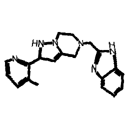 Cc1cccnc1C1C=C2CN(Cc3nc4ccccc4[nH]3)CCN2N1